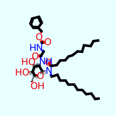 CCCCCCCCCCCCN(C(=O)CCCCCCCCCCC)[C@@H]1O[C@H](CO)[C@H](O)[C@H](O)[C@H]1NC(=O)CNC(=O)OCc1ccccc1